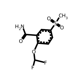 CS(=O)(=O)c1ccc(OC(F)F)c(C(N)=O)c1